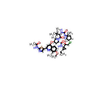 C=C[C@@H]1C[C@]1(NC(=O)[C@@H]1C[C@@H](Oc2cc(-c3cnc(NC(C)=O)s3)nc3c(C)c(OC)ccc23)CN1C(=O)[C@@H](NC(=O)NC1(C)CCCC1)C(C)(C)C)C(=O)CBr